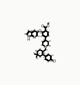 COC(=O)c1ccc(C2=CCN(CC3=C(c4ccc(Cl)cc4)CC(C)(C)CC3)CC2)cc1Oc1cnc2[nH]ccc2c1